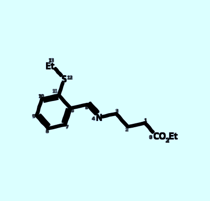 CCOC(=O)CCC/N=C/c1ccccc1SCC